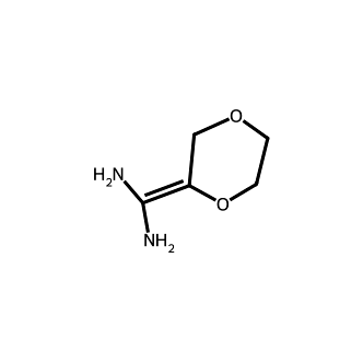 NC(N)=C1COCCO1